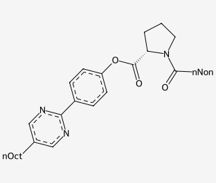 CCCCCCCCCC(=O)N1CCC[C@H]1C(=O)Oc1ccc(-c2ncc(CCCCCCCC)cn2)cc1